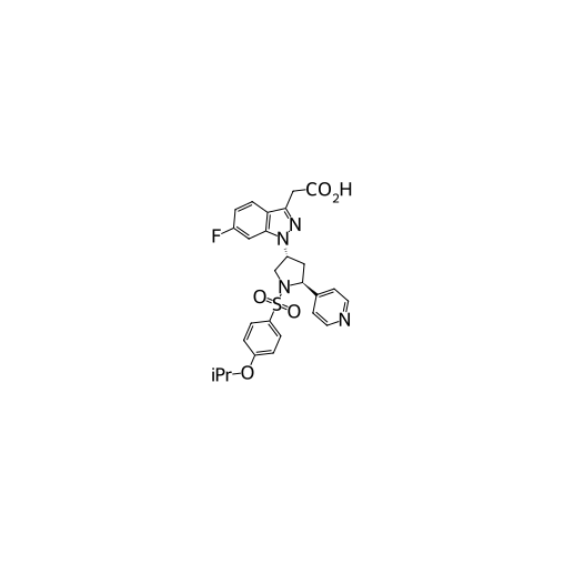 CC(C)Oc1ccc(S(=O)(=O)N2C[C@H](n3nc(CC(=O)O)c4ccc(F)cc43)C[C@H]2c2ccncc2)cc1